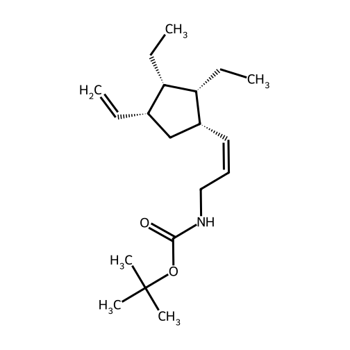 C=C[C@H]1C[C@@H](/C=C\CNC(=O)OC(C)(C)C)[C@@H](CC)[C@H]1CC